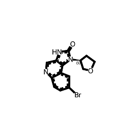 O=c1[nH]c2cnc3ccc(Br)cc3c2n1[C@H]1CCOC1